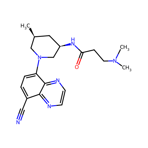 C[C@H]1C[C@@H](NC(=O)CCN(C)C)CN(c2ccc(C#N)c3nccnc23)C1